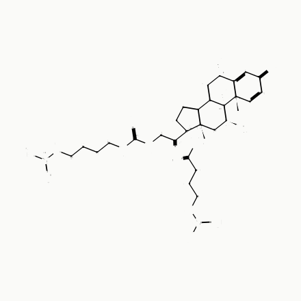 C[C@]12C=CC(=O)C=C1[C@@H](F)CC1C3CC[C@](OC(=O)CCCON(O)O)(C(=O)COC(=O)OCCCCON(O)O)[C@@]3(C)C[C@H](O)[C@@]12F